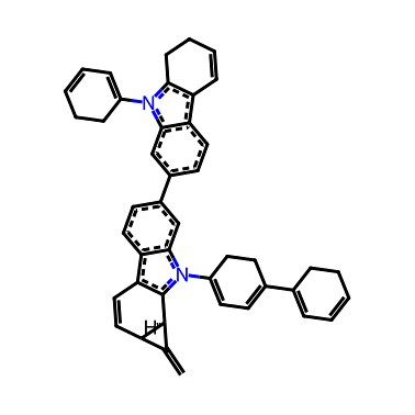 C=C1C2C=Cc3c(n(C4=CC=C(C5=CC=CCC5)CC4)c4cc(-c5ccc6c7c(n(C8=CC=CCC8)c6c5)CCC=C7)ccc34)[C@@H]12